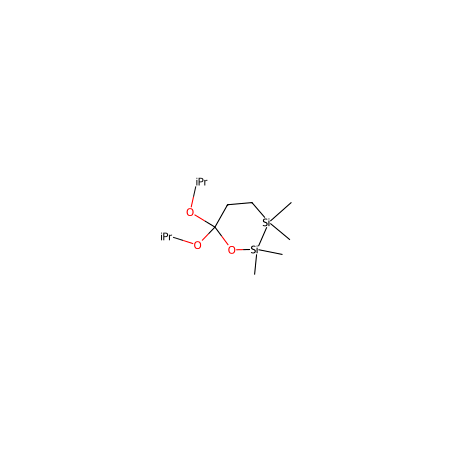 CC(C)OC1(OC(C)C)CC[Si](C)(C)[Si](C)(C)O1